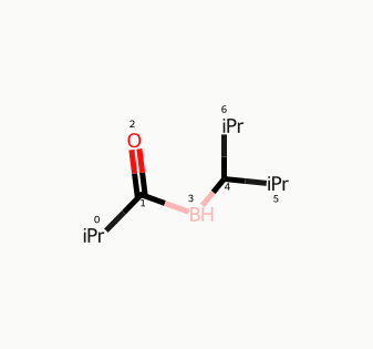 CC(C)C(=O)BC(C(C)C)C(C)C